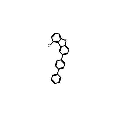 Clc1cccc2sc3ccc(-c4ccc(-c5ccccc5)cc4)cc3c12